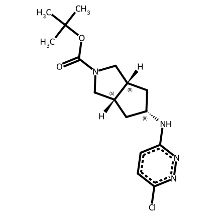 CC(C)(C)OC(=O)N1C[C@H]2C[C@@H](Nc3ccc(Cl)nn3)C[C@H]2C1